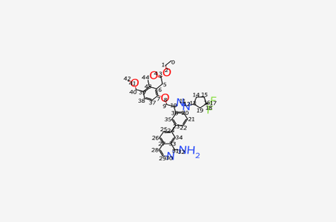 CCOC(=O)Cc1c(OCc2nn(C3CCC(F)(F)C3)c3ccc(-c4ccc5ccnc(N)c5c4)cc23)ccc(COC)c1C